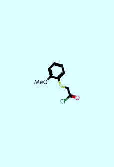 COc1ccccc1SCC(=O)Cl